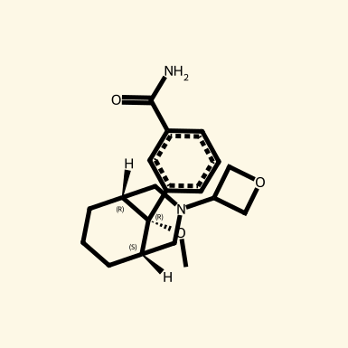 CO[C@@]1(c2cccc(C(N)=O)c2)[C@@H]2CCC[C@H]1CN(C1COC1)C2